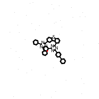 c1ccc(-c2ccc(-c3nc(-c4ccccc4)nc(-c4cccc5sc6ccc(-c7nc(-c8ccccc8)nc(-c8ccccc8)n7)cc6c45)n3)cc2)cc1